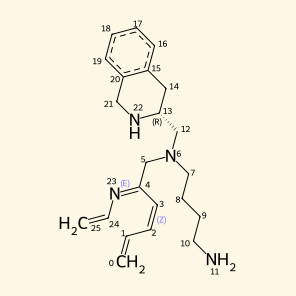 C=C/C=C\C(CN(CCCCN)C[C@H]1Cc2ccccc2CN1)=N/C=C